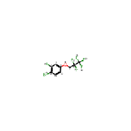 Fc1cc(OCC(F)(F)C(F)(F)F)ccc1Br